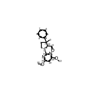 CCC(C)(c1ccccc1)C(C=O)Sc1nc(OC)cc(OC)n1